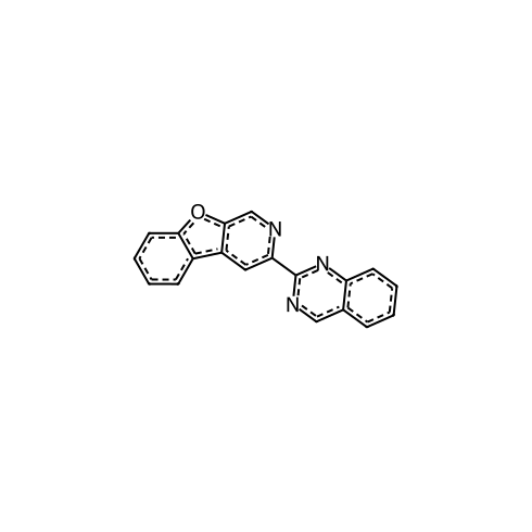 c1ccc2nc(-c3cc4c(cn3)oc3ccccc34)ncc2c1